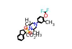 Cc1cc(N2CC(C)N(S(=O)(=O)C3(C(=O)O)CCc4ccccc43)C(C)C2)ccc1OC(F)F